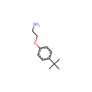 CC(C)(C)c1ccc(OCCN)cc1